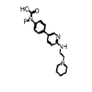 O=C(O)N(F)c1ccc(-c2ccc(NCCN3CCCCC3)nc2)cc1